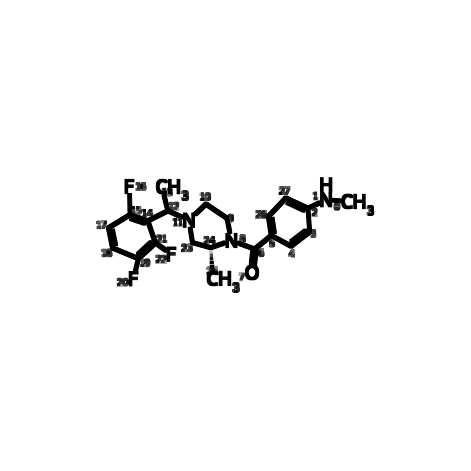 CNc1ccc(C(=O)N2CCN(C(C)c3c(F)ccc(F)c3F)C[C@H]2C)cc1